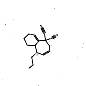 CCC[C@@H]1C=CCC(C#N)(C#N)C2=CCCCC21